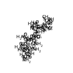 CSCC[C@H](NC(=O)[C@@H]1CCCN1C(=O)[C@@H]1CCCN1C(=O)[C@H](CCC(N)=O)NC(=O)[C@H](Cc1c[nH]cn1)NC(=O)[C@@H]1CCCN1C(=O)[C@H](CC(N)=O)NC(=O)[C@H](CCC(N)=O)NC(=O)[C@H](CCC(N)=O)NC(=O)[C@H](CCC(N)=O)NC(=O)[C@H](Cc1c[nH]cn1)NC(=O)[C@@H](N)CC(N)=O)C(=O)O